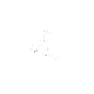 O.O.O.O.O.O.[Cl-].[Cl-].[Mn+2]